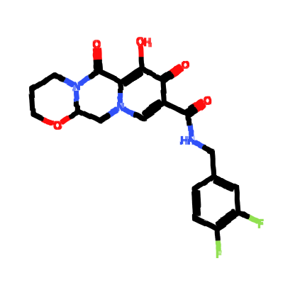 O=C(NCc1ccc(F)c(F)c1)c1cn2c(c(O)c1=O)C(=O)N1CCCOC1C2